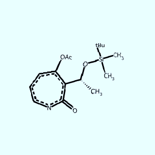 CC(=O)Oc1cccnc(=O)c1[C@@H](C)O[Si](C)(C)C(C)(C)C